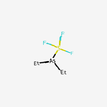 CC[As](CC)S(F)(F)F